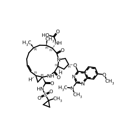 COc1ccc2c(O[C@@H]3C[C@H]4C(=O)N[C@]5(C(=O)NS(=O)(=O)C6(C)CC6)C[C@H]5C=CCC[C@@H](C)C[C@@H](C)[C@H](NC(=O)O)C(=O)N4C3)nc(N(C)C)nc2c1